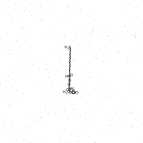 CCC=CCC=CCC=CCC=CCC=CCC=CCCC(=O)NCCOCCOCCNC(=O)C(C)(C)Oc1ccc(Cl)cc1